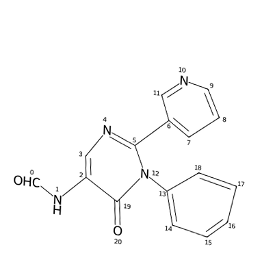 O=CNc1cnc(-c2cccnc2)n(-c2ccccc2)c1=O